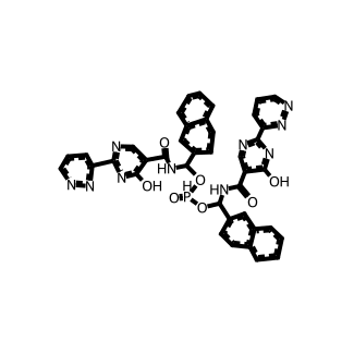 O=C(NC(O[PH](=O)OC(NC(=O)c1cnc(-c2cccnn2)nc1O)c1ccc2ccccc2c1)c1ccc2ccccc2c1)c1cnc(-c2cccnn2)nc1O